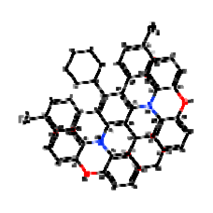 FC(F)(F)c1ccc(-c2c(C3CCCCC3)c(-c3ccc(C(F)(F)F)cc3)c(N3c4ccccc4Oc4ccccc43)c(C3CCCCC3)c2N2c3ccccc3Oc3ccccc32)cc1